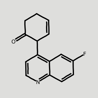 O=C1CCC=CC1c1ccnc2ccc(F)cc12